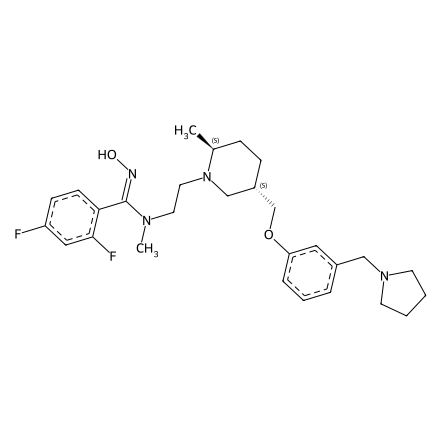 C[C@H]1CC[C@H](COc2cccc(CN3CCCC3)c2)CN1CCN(C)C(=NO)c1ccc(F)cc1F